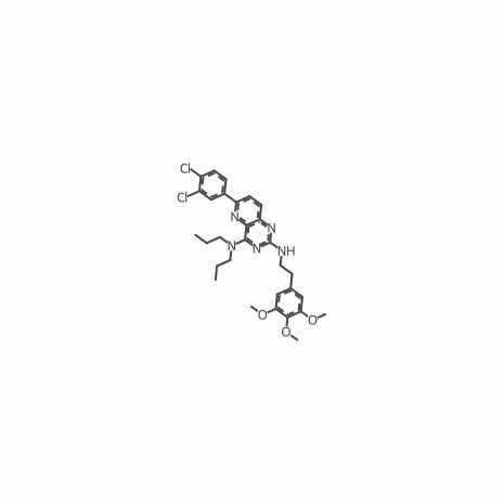 CCCN(CCC)c1nc(NCCc2cc(OC)c(OC)c(OC)c2)nc2ccc(-c3ccc(Cl)c(Cl)c3)nc12